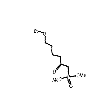 CCOCCCCC(=O)CP(=O)(OC)OC